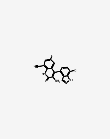 N#Cc1cc(Cl)cc2c(-c3ccc(Cl)c4[nH]ncc34)c(N)c(=O)[nH]c12